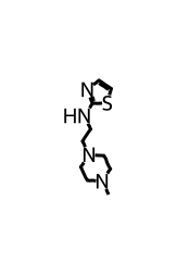 CN1CCN(CCNc2nccs2)CC1